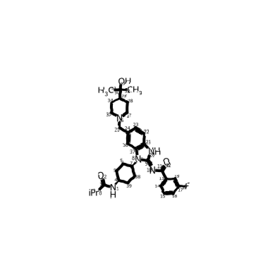 CC(C)C(=O)N[C@H]1CC[C@@H](n2/c(=N/C(=O)c3cccc(F)c3)[nH]c3ccc(CN4CCC(C(C)(C)O)CC4)cc32)CC1